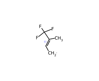 [CH2]/C=C(\C)C(F)(F)F